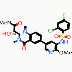 C=Nc1ccc(-c2cnc(OC)c(NS(=O)(=O)c3ccc(F)cc3Cl)c2)cc1C(=O)N(C)C[C@H](O)C(=O)NC